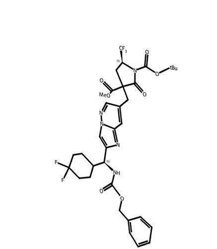 COC(=O)C1(Cc2cnn3cc([C@@H](NC(=O)OCc4ccccc4)C4CCC(F)(F)CC4)nc3c2)C[C@@H](C(F)(F)F)N(C(=O)OC(C)(C)C)C1=O